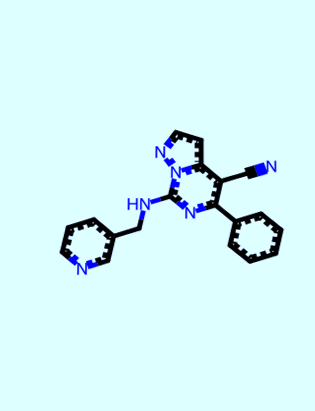 N#Cc1c(-c2ccccc2)nc(NCc2cccnc2)n2nccc12